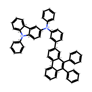 c1ccc(-c2c(-c3ccccc3)c3cc(-c4cccc(N(c5ccccc5)c5ccc6c(c5)c5ccccc5n6-c5ccccc5)c4)ccc3c3ccccc23)cc1